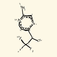 Nc1cnc(C(Cl)C(F)(F)F)cn1